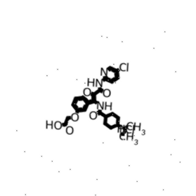 CN(C)C1CCC(C(=O)Nc2c(C(=O)Nc3ccc(Cl)cn3)oc3ccc(OCC(=O)O)cc23)CC1.Cl